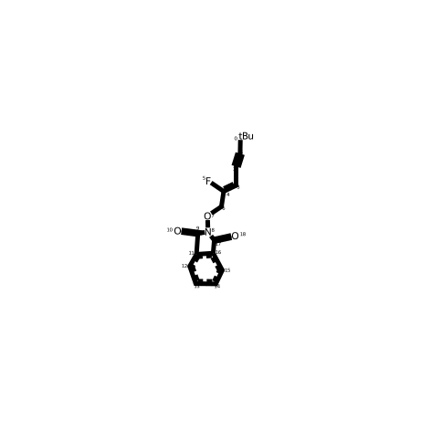 CC(C)(C)C#CC=C(F)CON1C(=O)c2ccccc2C1=O